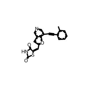 Cc1ccccc1C#Cc1cncc2cc(/C=C3/SC(=O)NC3=O)oc12